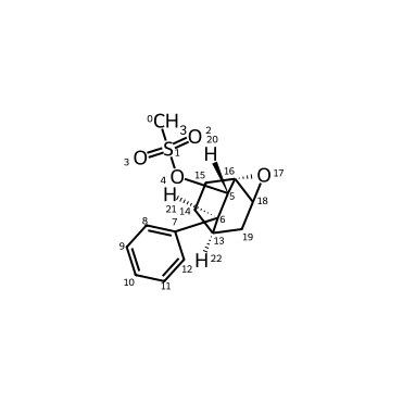 CS(=O)(=O)O[C@H]1[C@H](c2ccccc2)[C@@H]2CC[C@]13OC3C2